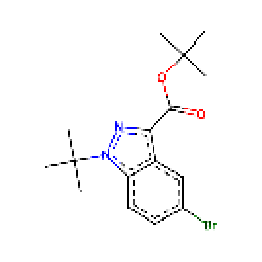 CC(C)(C)OC(=O)c1nn(C(C)(C)C)c2ccc(Br)cc12